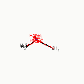 CCCCCCCCCCCCCCCCCCCCCC[C@@H](O)C(=O)N[C@@H](CO[C@H]1O[C@H](CO)[C@H](O)[C@H](O)[C@H]1O)[C@H](O)[C@H](O)CCCCCCCCCCCC(C)CC